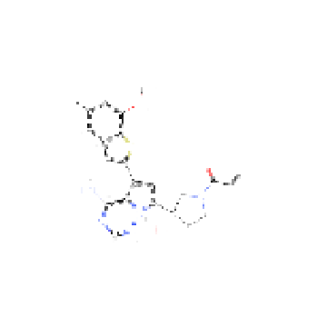 C=CC(=O)N1CC[C@@](O)(c2cc(-c3cc4cc(C)cc(OC)c4s3)c3c(N)ncnn23)C1